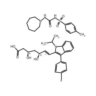 CC(C)n1c(/C=C/[C@@H](O)C[C@@H](O)CC(=O)O)c(-c2ccc(F)cc2)c2ccccc21.Cc1ccc(S(=O)(=O)NC(=O)NN2CCCCCC2)cc1